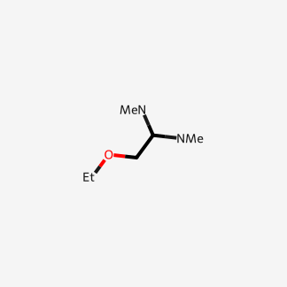 CCOCC(NC)NC